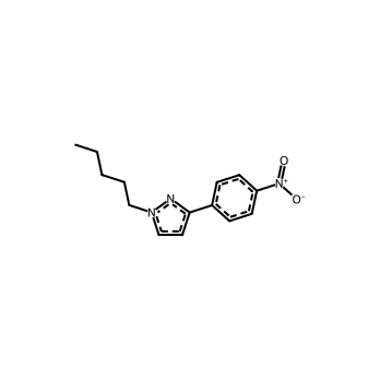 CCCCCn1ccc(-c2ccc([N+](=O)[O-])cc2)n1